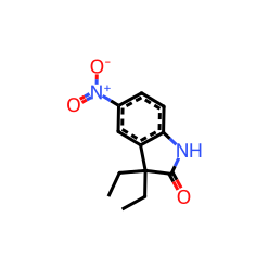 CCC1(CC)C(=O)Nc2ccc([N+](=O)[O-])cc21